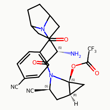 N#Cc1ccc(C(=O)N2C3CCC2CC([C@H](N)C(=O)N2[C@H](C#N)C[C@@H]4C[C@]42OC(=O)C(F)(F)F)C3)cc1